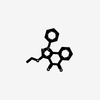 CCOc1nn(-c2ccccc2)c2c1C(=O)C(=O)c1ccccc1-2